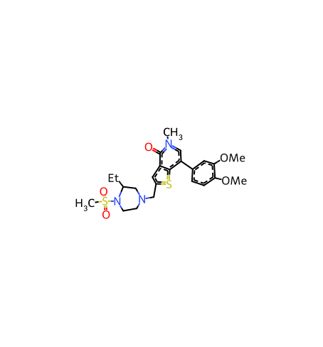 CCC1CN(Cc2cc3c(=O)n(C)cc(-c4ccc(OC)c(OC)c4)c3s2)CCN1S(C)(=O)=O